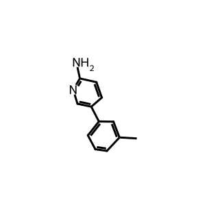 Cc1cccc(-c2ccc(N)nc2)c1